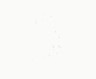 c1ccc(-c2ccc(-c3nc(-c4ccc5cc6c(cc5c4)C4(c5ccccc5-c5ccccc54)c4c-6ccc5ccccc45)nc4ccccc34)cc2)cc1